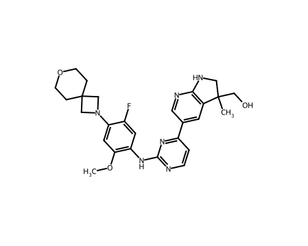 COc1cc(N2CC3(CCOCC3)C2)c(F)cc1Nc1nccc(-c2cnc3c(c2)C(C)(CO)CN3)n1